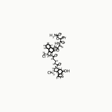 Cc1csc2c(O)cc3c(c12)[C@H](CCl)CN3C(=O)CCCC(=O)N1C[C@@H](CCl)c2c1cc(NC(=O)C(C)NC(=O)C(OC(N)=O)C(C)C)c1ccccc21